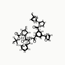 Cc1csc([C@H]2CCCN2C(=O)c2cc(C(=O)N[C@@H](Cc3ccccc3)[C@H](O)C3CC(F)CN3C(=O)OC(C)(C)C)cc(-c3ncco3)c2)n1